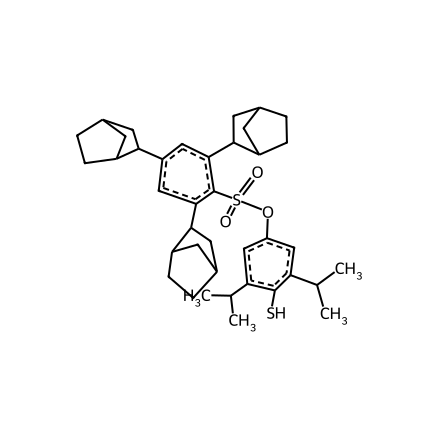 CC(C)c1cc(OS(=O)(=O)c2c(C3CC4CCC3C4)cc(C3CC4CCC3C4)cc2C2CC3CCC2C3)cc(C(C)C)c1S